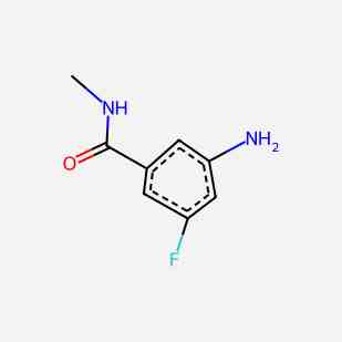 CNC(=O)c1cc(N)cc(F)c1